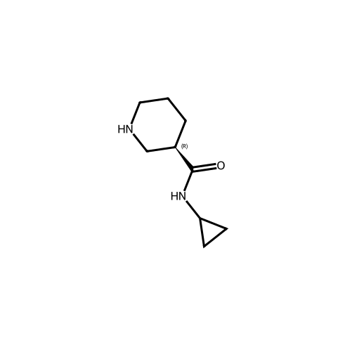 O=C(NC1CC1)[C@@H]1CCCNC1